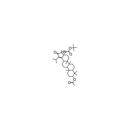 CC(=O)OC1CCC2(C)C(CCC3(C)C2CCC2C4=C(C(C)C)C(=O)CC4(NC(=O)OC(C)(C)C)CCC23C)C1(C)C